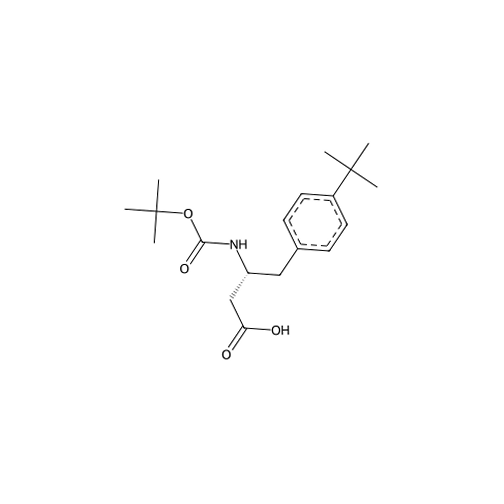 CC(C)(C)OC(=O)N[C@@H](CC(=O)O)Cc1ccc(C(C)(C)C)cc1